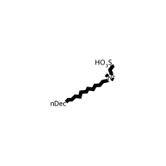 CCCCCCCCCCCCCCCCCCCCCC[N+](C)(C)CCCS(=O)(=O)O